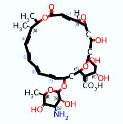 CC1OC(=O)/C=C/[C@H]2OC2CC(O)CC2(O)C[C@H](O)C(C(=O)O)[C@H](CC(OC3O[C@H](C)C(O)[C@H](N)[C@@H]3O)/C=C/C=C/C=C/C=C/[C@@H]1C)O2